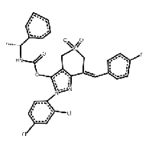 C[C@@H](NC(=O)Oc1c2c(nn1-c1ccc(Cl)cc1Cl)/C(=C/c1ccc(F)cc1)CS(=O)(=O)C2)c1ccccc1